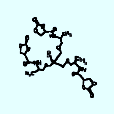 CCC(COCC(C)NC(=O)C1COC(=O)O1)(COCC(C)NC(=O)C1COC(=O)O1)COCC(C)NC(=O)C1COC(=O)O1